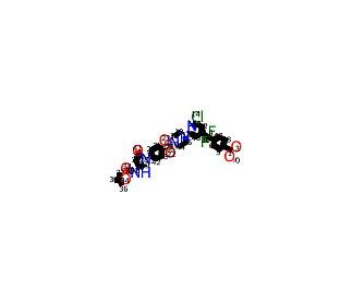 COC(=O)c1ccc(C(F)(F)c2cc(Cl)nc(N3CCN(S(=O)(=O)c4ccc(N5C[C@H](NC(=O)OC(C)(C)C)CC5=O)cc4)CC3)c2)cc1